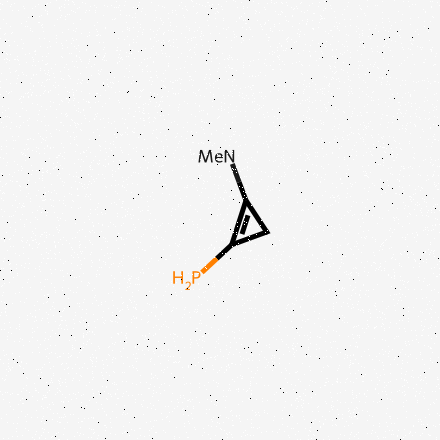 CNC1=C(P)C1